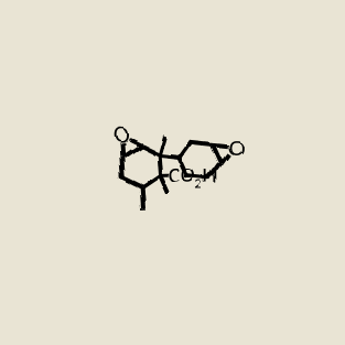 CC1CC2OC2C(C)(C2CCC3OC3C2)C1(C)C(=O)O